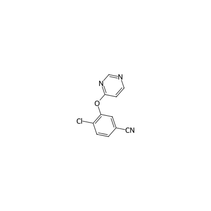 N#Cc1ccc(Cl)c(Oc2ccncn2)c1